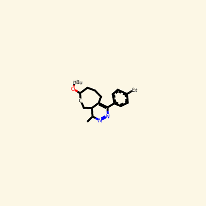 CCCCOC1CCCC2=C(c3ccc(CC)cc3)N=NC(C)C2CC1